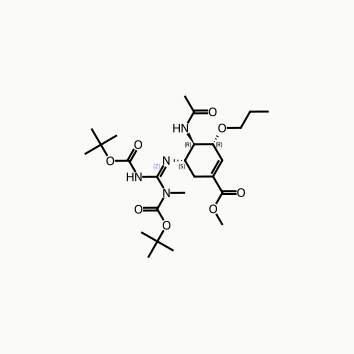 CCCO[C@@H]1C=C(C(=O)OC)C[C@H](/N=C(/NC(=O)OC(C)(C)C)N(C)C(=O)OC(C)(C)C)[C@H]1NC(C)=O